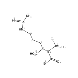 CCC(=O)N(C(=O)CC)C(CCCNC(=N)N)C(=O)O